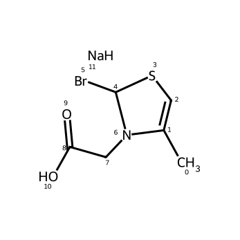 CC1=CSC(Br)N1CC(=O)O.[NaH]